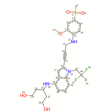 COc1cc(S(C)(=O)=O)ccc1NCC#Cc1cc2c(NC(CCO)CCO)cccc2n1CC(F)(F)F